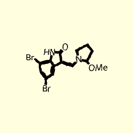 COC1CCCN1C=C1C(=O)Nc2c(Br)cc(Br)cc21